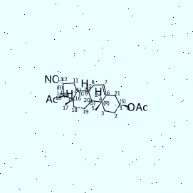 CC(=O)O[C@H]1CC[C@@]2(C)C(=CC[C@H]3[C@@H]4C[C@@H](C#N)[C@H](C(C)=O)[C@@]4(C)CC[C@@H]32)C1